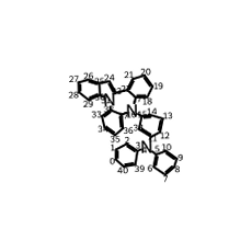 c1ccc(N(c2ccccc2)c2cccc(N3c4ccccc4-c4cc5ccccc5n4-c4ccccc43)c2)cc1